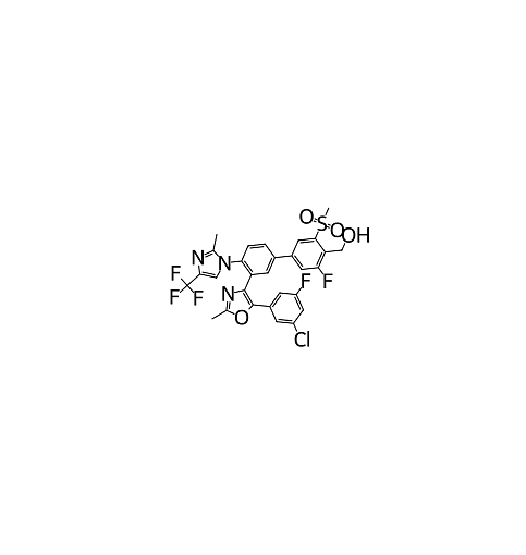 Cc1nc(-c2cc(-c3cc(F)c(CO)c(S(C)(=O)=O)c3)ccc2-n2cc(C(F)(F)F)nc2C)c(-c2cc(F)cc(Cl)c2)o1